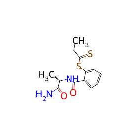 CCC(=S)Sc1ccccc1C(=O)N[C@H](C)C(N)=O